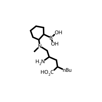 CCCCC(CC(N)CN(C)C1CCCCC1B(O)O)C(=O)O